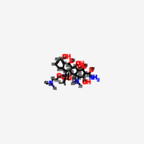 CCC(=O)O[C@H]1[C@@H]2C(=C(O)[C@]3(O)C(=O)C(C(N)=O)=C(O)[C@@H](N(C)C)[C@@H]13)C(=O)c1c(O)cccc1[C@H]2COCCN(C)C